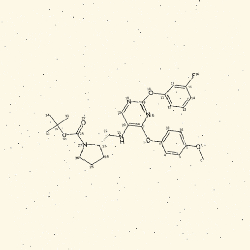 COc1ccc(Oc2nc(Oc3cccc(F)c3)ncc2NC[C@@H]2CCCN2C(=O)OC(C)(C)C)cc1